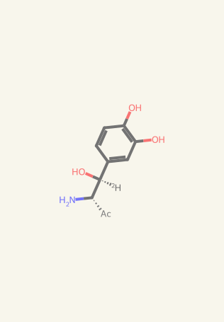 [2H][C@](O)(c1ccc(O)c(O)c1)[C@@H](N)C(C)=O